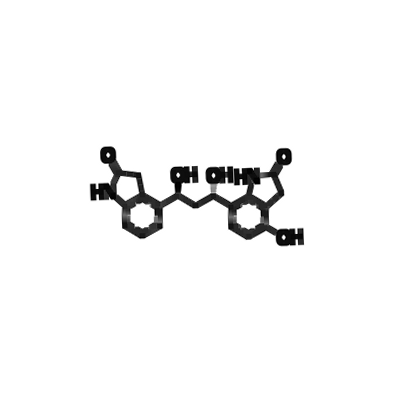 O=C1Cc2c(cccc2[C@@H](O)C[C@H](O)c2ccc(O)c3c2NC(=O)C3)N1